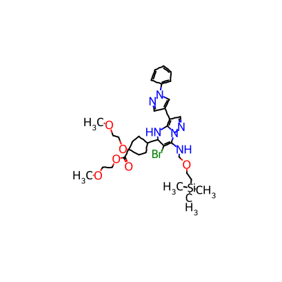 COCCOC(=O)C1(OCCOC)CCC(C2Nc3c(-c4cnn(-c5ccccc5)c4)cnn3C(NCOCC[Si](C)(C)C)=C2Br)CC1